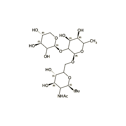 CC(=O)NC1[C@@H](O)[C@H](O)C(CO[C@@H]2OC(C)[C@H](O)[C@H](O)C2O[C@@H]2OC[C@@H](O)[C@H](O)C2O)O[C@H]1C(C)(C)C